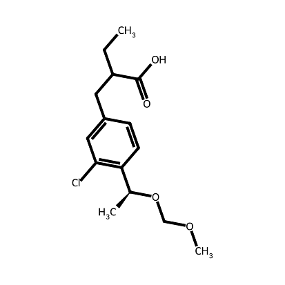 CCC(Cc1ccc([C@H](C)OCOC)c(Cl)c1)C(=O)O